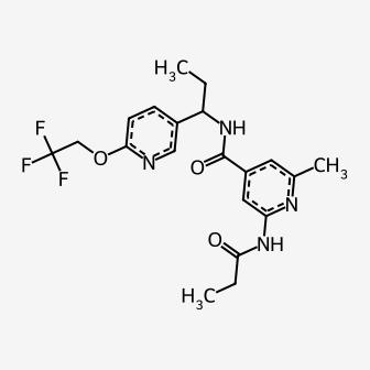 CCC(=O)Nc1cc(C(=O)NC(CC)c2ccc(OCC(F)(F)F)nc2)cc(C)n1